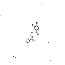 O=C(c1ccc(F)c(F)c1)[C@H]1CCCN(C(=O)C2CCCO2)C1